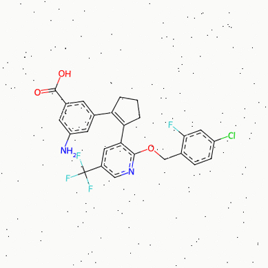 Nc1cc(C(=O)O)cc(C2=C(c3cc(C(F)(F)F)cnc3OCc3ccc(Cl)cc3F)CCC2)c1